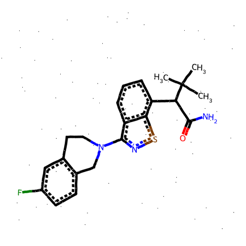 CC(C)(C)C(C(N)=O)c1cccc2c(N3CCc4cc(F)ccc4C3)nsc12